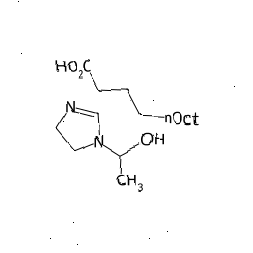 CC(O)N1C=NCC1.CCCCCCCCCCCC(=O)O